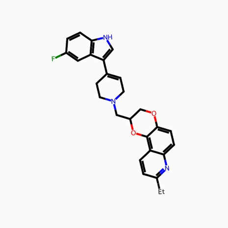 CCc1ccc2c3c(ccc2n1)OCC(CN1CC=C(c2c[nH]c4ccc(F)cc24)CC1)O3